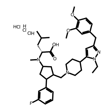 CCn1nc(Cc2ccc(OC)c(OC)c2)cc1C1CCN(CC2CC(N(C)[C@H](CC(C)C)C(=O)O)CC2c2cccc(F)c2)CC1.Cl.Cl.Cl